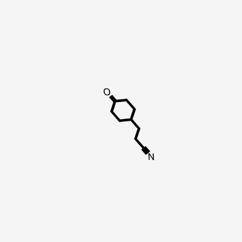 N#CCCC1CCC(=O)CC1